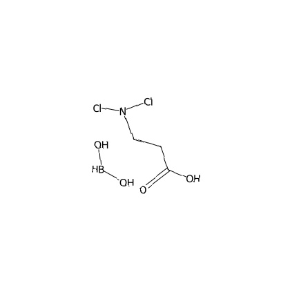 O=C(O)CCN(Cl)Cl.OBO